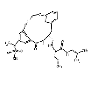 CCC[C@H](NC[C@H]1Cc2cccc(c2)CCCOc2cc(cc(N(C)S(C)(=O)=O)c2)C(=O)N1)C(=O)NCC(C)C